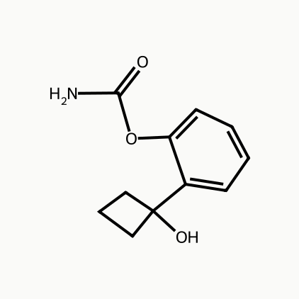 NC(=O)Oc1ccccc1C1(O)CCC1